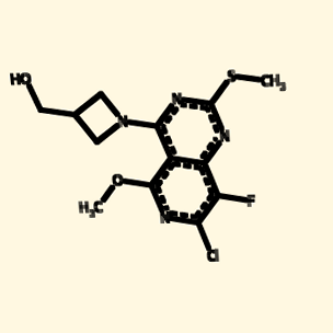 COc1nc(Cl)c(F)c2nc(SC)nc(N3CC(CO)C3)c12